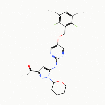 COC(=O)c1cc(Nc2ncc(OCc3c(F)c(OC)cc(OC)c3F)cn2)n(C2CCCCO2)n1